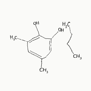 CCCC.Cc1cc(C)c(O)c(O)c1